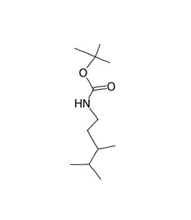 CC(C)C(C)CCNC(=O)OC(C)(C)C